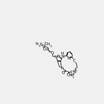 CC12CCN(CCCCc3cccc(n3)Nc3nn(COCC[Si](C)(C)C)c4c3CN(C4)C1=O)C2